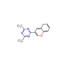 ClC(Cl)(Cl)c1nc(C2=COC3=CC=CCC3=C2)nc(C(Cl)(Cl)Cl)n1